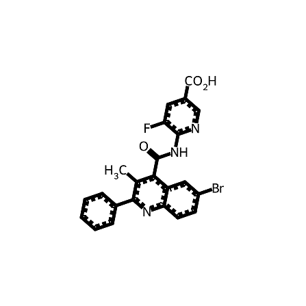 Cc1c(-c2ccccc2)nc2ccc(Br)cc2c1C(=O)Nc1ncc(C(=O)O)cc1F